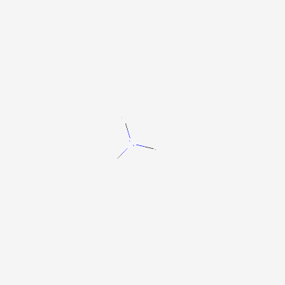 CN(C)C.[S+2]